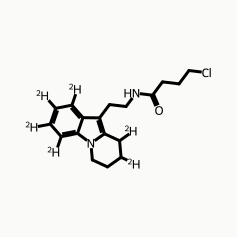 [2H]c1c([2H])c([2H])c2c(c1[2H])c(CCNC(=O)CCCCl)c1n2CCC([2H])C1[2H]